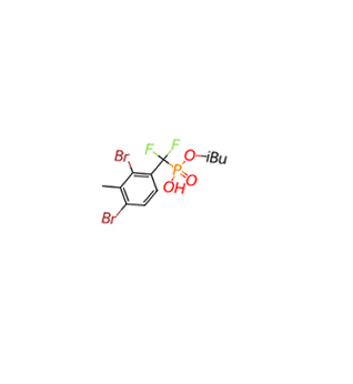 CCC(C)OP(=O)(O)C(F)(F)c1ccc(Br)c(C)c1Br